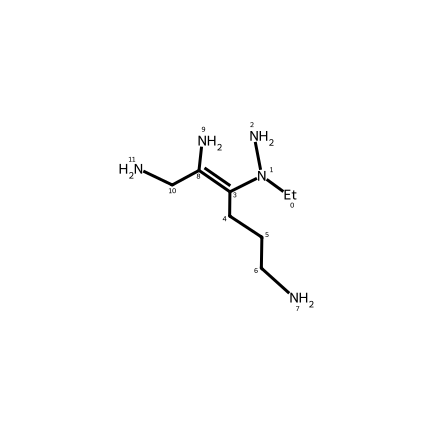 CCN(N)/C(CCCN)=C(\N)CN